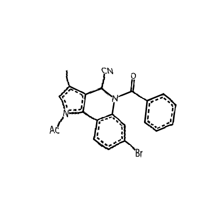 CC(=O)n1cc(C)c2c1-c1ccc(Br)cc1N(C(=O)c1ccccc1)C2C#N